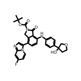 CC(C)(C)OC(=O)N1Cc2c(-c3cnc4cc(F)ccn34)ccc(Nc3ccc(C4(O)CCOC4)cc3)c2C1=O